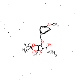 CC[C@@H](O)[C@H]1O[C@@H]2OC(C)(C)OC2[C@H]1OCc1ccc(OC)cc1